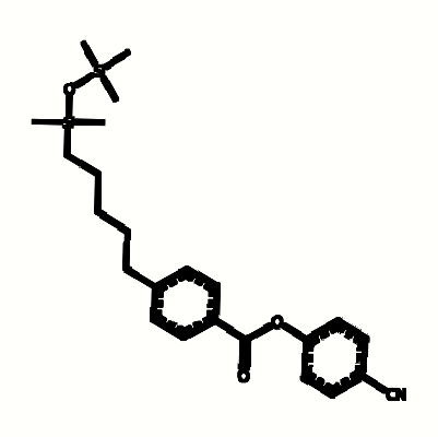 C[Si](C)(C)O[Si](C)(C)CCCCCc1ccc(C(=O)Oc2ccc(C#N)cc2)cc1